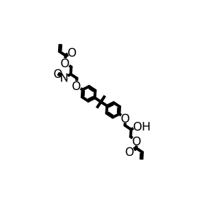 C=CC(=O)OCC(O)COc1ccc(C(C)(C)c2ccc(OCC(COC(=O)C=C)N=O)cc2)cc1